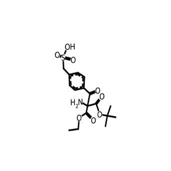 CCOC(=O)C(N)(C(=O)OC(C)(C)C)C(=O)c1ccc(CS(=O)(=O)O)cc1